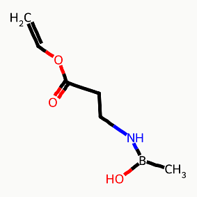 C=COC(=O)CCNB(C)O